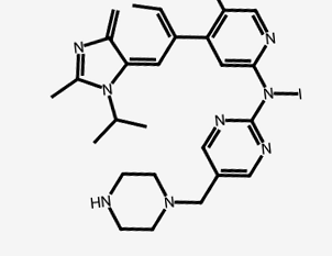 C=c1nc(C)n(C(C)C)/c1=C/C(=C\C)c1cc(N(I)c2ncc(CN3CCNCC3)cn2)ncc1F